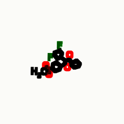 CS(=O)(=O)c1ccc(-c2oc3ccccc3c(=O)c2-c2cc(F)cc(F)c2)cc1